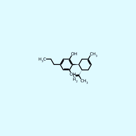 C=C(C)[C@H]1CC=C(C)C[C@@H]1c1c(O)cc(CCC)cc1O